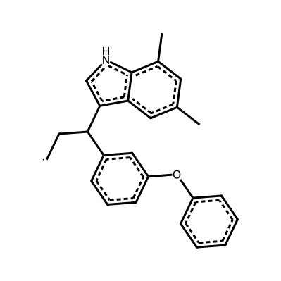 [CH2]CC(c1cccc(Oc2ccccc2)c1)c1c[nH]c2c(C)cc(C)cc12